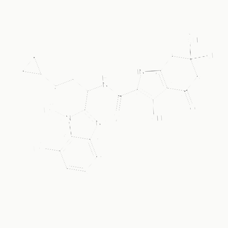 Cc1c(C(=O)NC(CCC2CC2)c2nc3cccc(C)c3n2C)[nH]c2c1C(=O)CC(C)(C)C2